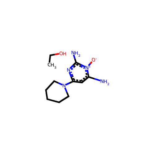 CCO.Nc1cc(N2CCCCC2)nc(N)[n+]1[O-]